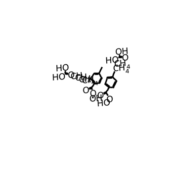 C.C.C.C.C.C.Cc1ccc(C(=O)OO)cc1.Cc1ccc(C(=O)OO)cc1.O=C(O)O.O=C(O)O